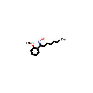 CCCCCCCCCCCCCCCC(=NO)c1ccccc1OCC